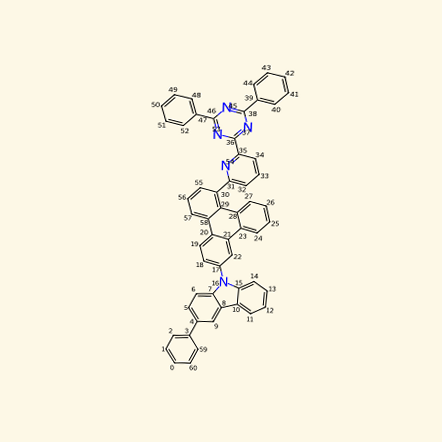 c1ccc(-c2ccc3c(c2)c2ccccc2n3-c2ccc3c(c2)c2ccccc2c2c(-c4cccc(-c5nc(-c6ccccc6)nc(-c6ccccc6)n5)n4)cccc32)cc1